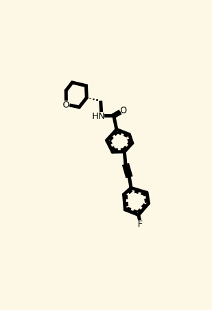 O=C(NC[C@H]1CCCOC1)c1ccc(C#Cc2ccc(F)cc2)cc1